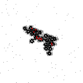 c1ccc(-c2cc(-c3ccccc3)cc(N(c3ccc4c(c3)C(c3ccccc3)(c3ccccc3)c3cc(-c5ccccc5)ccc3-4)c3c(-c4cccc(-c5ccc(-c6ccc(N(c7ccc8c(c7)C(c7ccccc7)(c7ccccc7)c7cc(-c9ccccc9)ccc7-8)c7c(-c8ccccc8)c8ccccc8c8ccccc78)cc6-c6ccccc6)cc5)c4)c4ccccc4c4ccccc34)c2)cc1